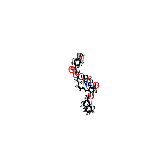 O=C(CC/C=C\CCC1[C@H](N2CCOCC2)C(=O)C[C@H]1OCc1ccc2ccccc2c1)OCC(=O)c1ccc(Br)cc1